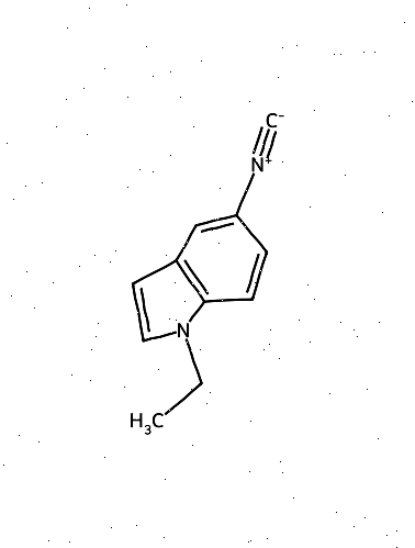 [C-]#[N+]c1ccc2c(ccn2CC)c1